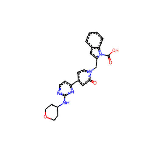 O=C(O)n1c(Cn2ccc(-c3ccnc(NC4CCOCC4)n3)cc2=O)cc2ccccc21